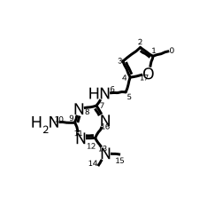 Cc1ccc(CNc2nc(N)nc(N(C)C)n2)o1